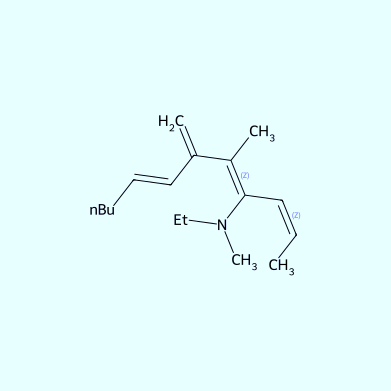 C=C(C=CCCCC)/C(C)=C(/C=C\C)N(C)CC